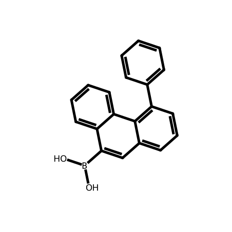 OB(O)c1cc2cccc(-c3ccccc3)c2c2ccccc12